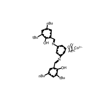 CC(=O)[O-].CC(=O)[O-].CCCCc1cc(C=Nc2cccc(N=Cc3cc(CCCC)cc(C(C)(C)C)c3O)c2)c(O)c(C(C)(C)C)c1.[Co+2]